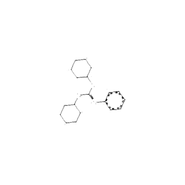 c1ccc(N=C(NC2CCCCC2)NC2CCCCC2)cc1